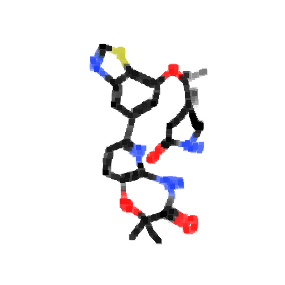 C[C@@H](Oc1cc(-c2ccc3c(n2)NC(=O)C(C)(C)O3)cc2ncsc12)[C@H]1CNC(=O)C1